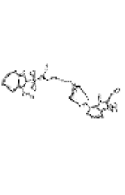 Cc1c(S(=O)(=O)N(Cl)CCCCN2CCN(c3cccc4[nH]c(=O)[nH]c34)CC2)sc2ccccc12